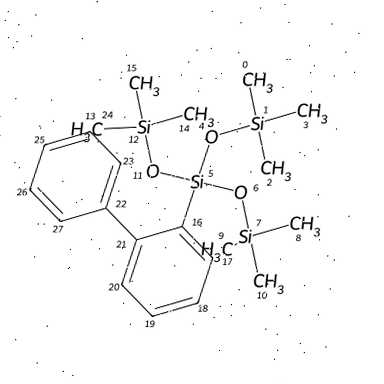 C[Si](C)(C)O[Si](O[Si](C)(C)C)(O[Si](C)(C)C)c1ccccc1-c1ccccc1